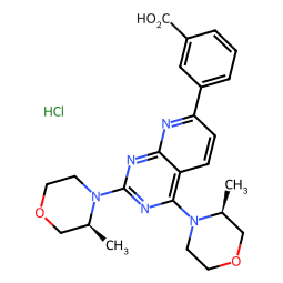 C[C@H]1COCCN1c1nc(N2CCOC[C@@H]2C)c2ccc(-c3cccc(C(=O)O)c3)nc2n1.Cl